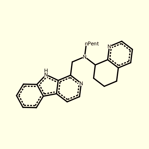 CCCCCN(Cc1nccc2c1[nH]c1ccccc12)C1CCCc2cccnc21